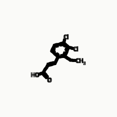 CCc1c(/C=C/C(=O)O)ccc(Cl)c1Cl